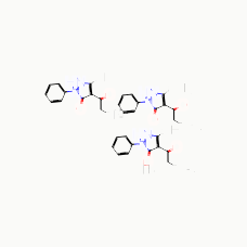 Cc1[nH]n(-c2ccccc2)c(=O)c1C(=O)CC(C)(C)C.Cc1[nH]n(-c2ccccc2)c(=O)c1C(=O)CC(C)(C)C.Cc1[nH]n(-c2ccccc2)c(=O)c1C(=O)CC(C)(C)C.[Tb]